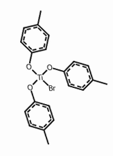 Cc1ccc([O][Ti]([Br])([O]c2ccc(C)cc2)[O]c2ccc(C)cc2)cc1